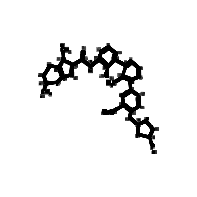 COc1cc(-c2cccc(-c3cccc(NC(=O)c4nc5c(n4C)CCN(C)C5)c3Cl)c2C)ncc1CN1CC[C@@H](F)C1